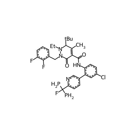 CCN1C(C(C)(C)C)C(C)=C(C(=O)Nc2ccc(Cl)cc2-c2ccc(C(F)(P)P)nc2)C(=O)N1Cc1cccc(F)c1F